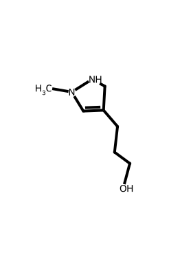 CN1C=C(CCCO)CN1